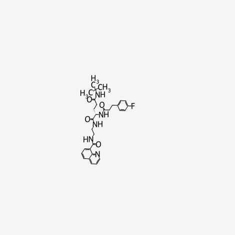 CC(C)(C)NC(=O)CC[C@H](NC(=O)CCc1ccc(F)cc1)C(=O)NCCNC(=O)c1cccc2cccnc12